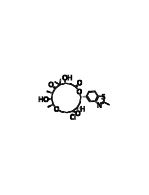 Cc1nc2cc([C@@H]3C[C@H]4O[C@@]4(Cl)CCO[C@@H](C)[C@@H](O)[C@@H](C)C(=O)C(C)(C)[C@@H](O)CC(=O)O3)ccc2s1